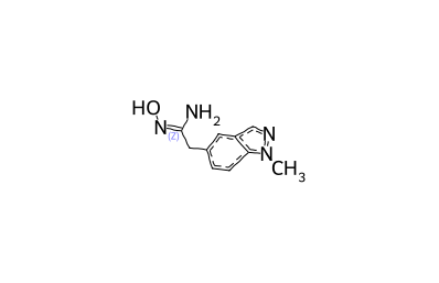 Cn1ncc2cc(C/C(N)=N/O)ccc21